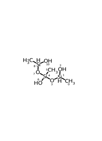 C[SiH](O)O[Si](C)(O)O[SiH](C)O